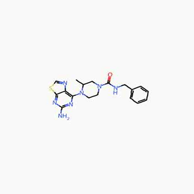 CC1CN(C(=O)NCc2ccccc2)CCN1c1nc(N)nc2scnc12